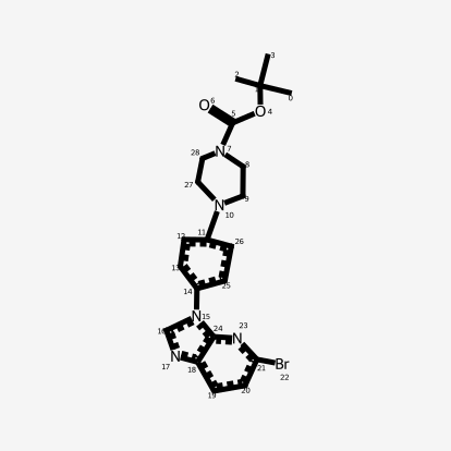 CC(C)(C)OC(=O)N1CCN(c2ccc(-n3cnc4ccc(Br)nc43)cc2)CC1